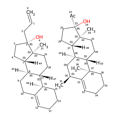 C=CC[C@]1(O)CC[C@H]2[C@@H]3CCC4=CCCC[C@@H]4[C@H]3CC[C@@]21C.CC(=O)[C@@]1(O)CC[C@H]2[C@@H]3C[C@H](C)C4=CCCC[C@]4(C)[C@H]3CC[C@@]21C